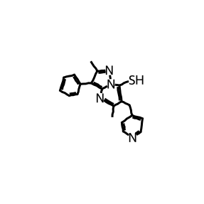 Cc1nc2c(-c3ccccc3)c(C)nn2c(S)c1Cc1ccncc1